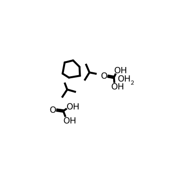 C1CCCCC1.CC(C)C.CC(C)C.O.O=C(O)O.O=C(O)O